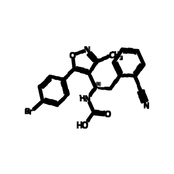 Cc1noc(-c2ccc(Br)cc2)c1[C@@H](Cc1ccccc1C#N)NC(=O)O